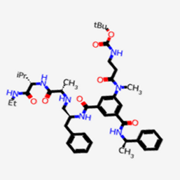 CCNC(=O)[C@@H](NC(=O)[C@H](C)NC[C@H](Cc1ccccc1)NC(=O)c1cc(C(=O)N[C@H](C)c2ccccc2)cc(N(C)C(=O)CCNC(=O)OC(C)(C)C)c1)C(C)C